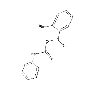 CCC(C)c1ccccc1N(CC)OC(=O)Nc1ccccc1